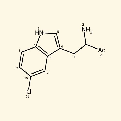 CC(=O)C(N)Cc1c[nH]c2ccc(Cl)cc12